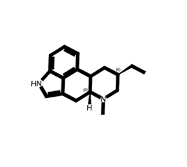 CC[C@@H]1CC2c3cccc4[nH]cc(c34)C[C@H]2N(C)C1